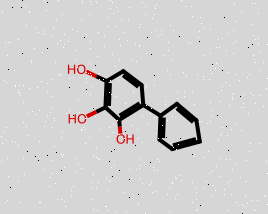 Oc1ccc(-c2ccccc2)c(O)c1O